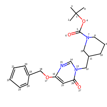 CC(C)(C)OC(=O)N1CCCC(Cn2cnc(OCc3ccccc3)cc2=O)C1